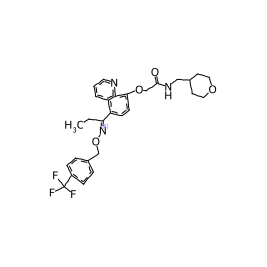 CC/C(=N\OCc1ccc(C(F)(F)F)cc1)c1ccc(OCC(=O)NCC2CCOCC2)c2ncccc12